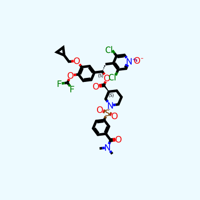 CN(C)C(=O)c1cccc(S(=O)(=O)N2CCC[C@H](C(=O)O[C@@H](Cc3c(Cl)c[n+]([O-])cc3Cl)c3ccc(OC(F)F)c(OCC4CC4)c3)C2)c1